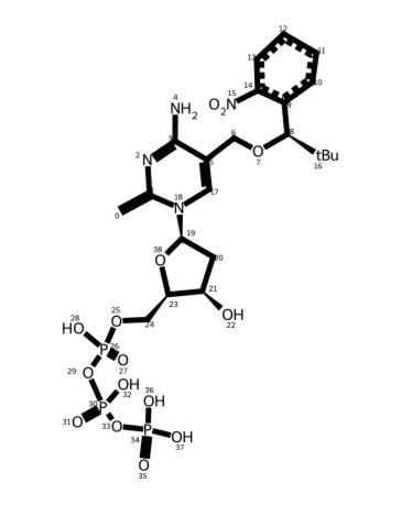 C=C1N=C(N)C(CO[C@@H](c2ccccc2[N+](=O)[O-])C(C)(C)C)=CN1[C@H]1C[C@@H](O)[C@@H](COP(=O)(O)OP(=O)(O)OP(=O)(O)O)O1